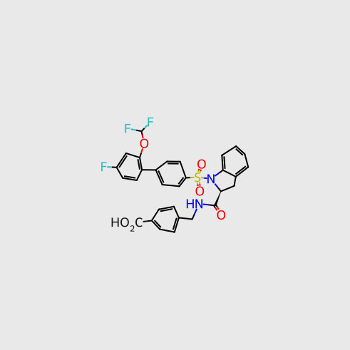 O=C(O)c1ccc(CNC(=O)[C@@H]2Cc3ccccc3N2S(=O)(=O)c2ccc(-c3ccc(F)cc3OC(F)F)cc2)cc1